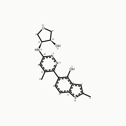 Cc1cc2c(O)c(-c3nnc(N[C@H]4COC[C@H]4O)cc3C)ccc2s1